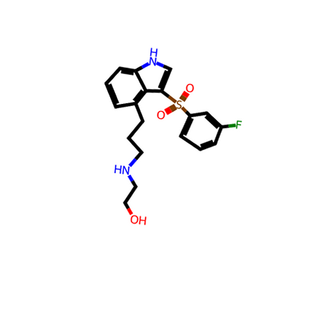 O=S(=O)(c1cccc(F)c1)c1c[nH]c2cccc(CCCNCCO)c12